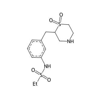 CCS(=O)(=O)Nc1cccc(CC2CNCCS2(=O)=O)c1